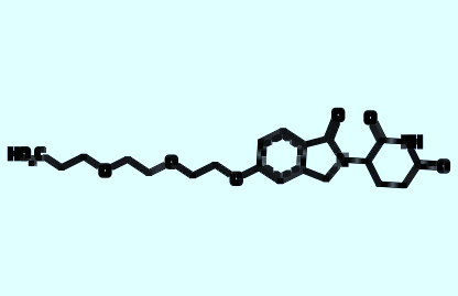 O=C(O)CCOCCOCCOc1ccc2c(c1)CN(C1CCC(=O)NC1=O)C2=O